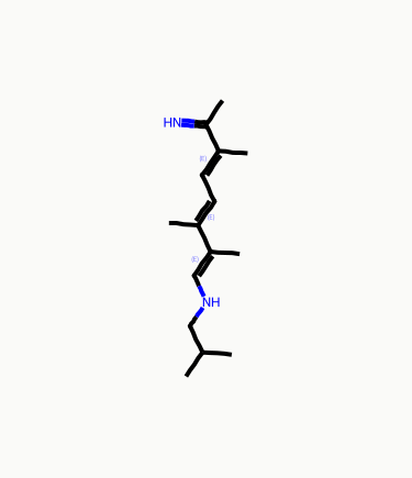 CC(=N)/C(C)=C/C=C(C)/C(C)=C/NCC(C)C